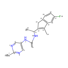 C=C(Nc1cnc(CCCC)nc1)NC(C1=C(C)c2cc(F)ccc2C1)C(C)C